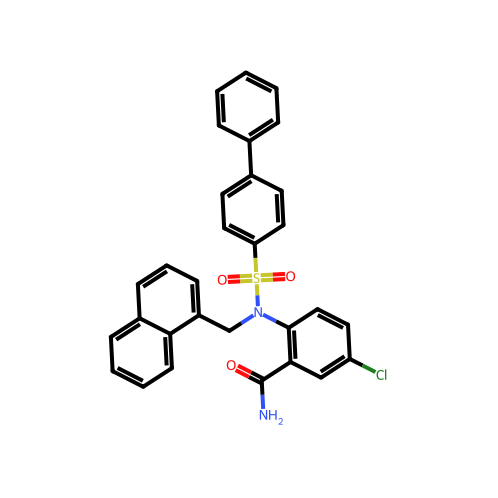 NC(=O)c1cc(Cl)ccc1N(Cc1cccc2ccccc12)S(=O)(=O)c1ccc(-c2ccccc2)cc1